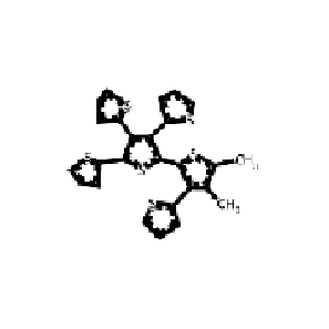 Cc1sc(-c2sc(-c3cccs3)c(-c3cccs3)c2-c2cccs2)c(-c2cccs2)c1C